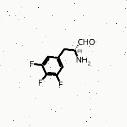 N[C@@H]([C]=O)Cc1cc(F)c(F)c(F)c1